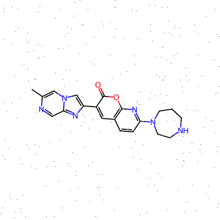 Cc1cn2cc(-c3cc4ccc(N5CCCNCC5)nc4oc3=O)nc2cn1